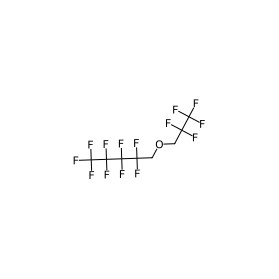 FC(F)(F)C(F)(F)COCC(F)(F)C(F)(F)C(F)(F)C(F)(F)F